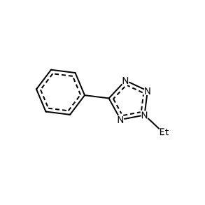 CCn1nnc(-c2ccccc2)n1